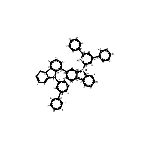 C1=CCC2C(=C1)N(c1cccc(-c3ccccc3)c1)c1c(-c3ccc4c5ccccc5n(-c5cc(-c6ccccc6)cc(-c6ccccc6)n5)c4c3)cccc12